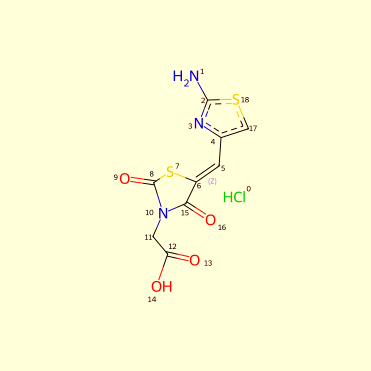 Cl.Nc1nc(/C=C2\SC(=O)N(CC(=O)O)C2=O)cs1